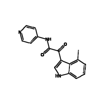 Cc1cccc2[nH]cc(C(=O)C(=O)Nc3ccncc3)c12